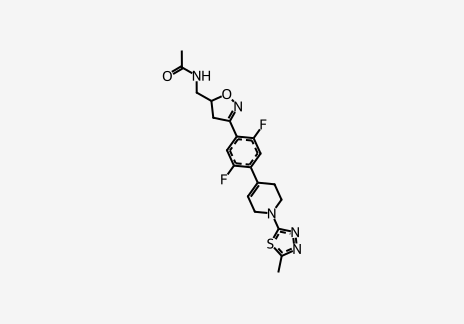 CC(=O)NCC1CC(c2cc(F)c(C3=CCN(c4nnc(C)s4)CC3)cc2F)=NO1